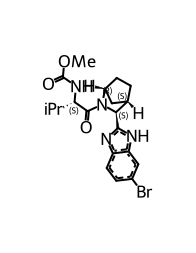 COC(=O)N[C@H](C(=O)N1[C@@H]2CC[C@@H](C2)[C@H]1c1nc2ccc(Br)cc2[nH]1)C(C)C